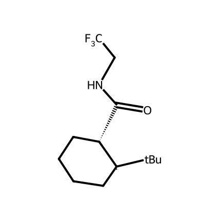 CC(C)(C)[C]1CCCC[C@@H]1C(=O)NCC(F)(F)F